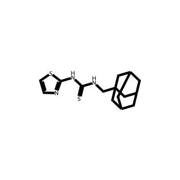 S=C(NCC12CC3CC(CC(C3)C1)C2)Nc1nccs1